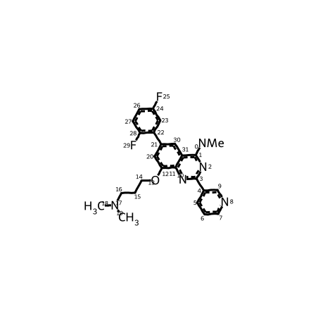 CNc1nc(-c2cccnc2)nc2c(OCCCN(C)C)cc(-c3cc(F)ccc3F)cc12